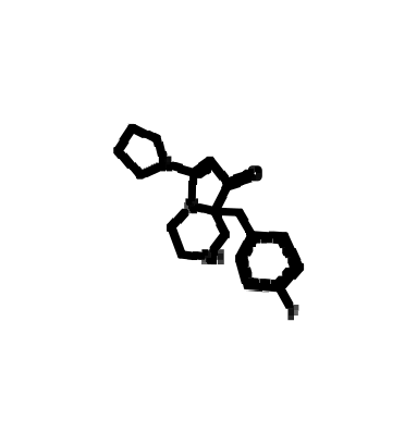 O=C1C=C(N2CCCC2)N2CCNCC12Cc1ccc(F)cc1